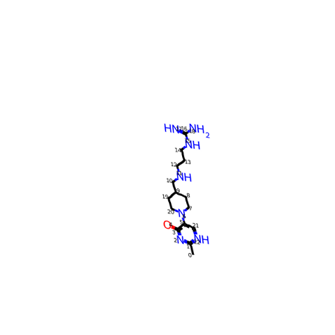 Cc1nc(=O)c(N2CCC(CNCCCNC(=N)N)CC2)c[nH]1